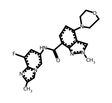 Cc1cn2cc(NC(=O)c3ccc(N4CCOCC4)c4cn(C)nc34)cc(F)c2n1